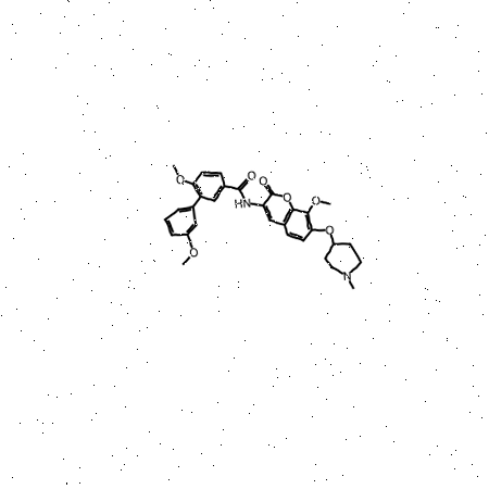 COc1cccc(-c2cc(C(=O)Nc3cc4ccc(OC5CCN(C)CC5)c(OC)c4oc3=O)ccc2OC)c1